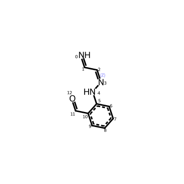 N=C/C=N\Nc1ccccc1C=O